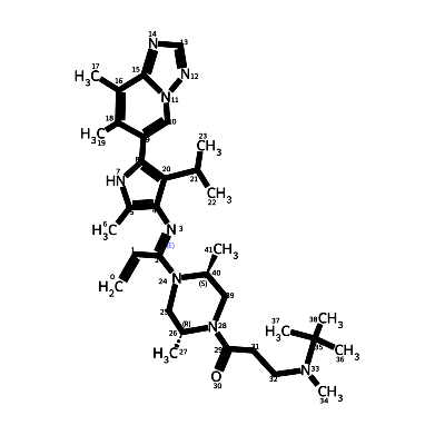 C=C/C(=N\c1c(C)[nH]c(-c2cn3ncnc3c(C)c2C)c1C(C)C)N1C[C@@H](C)N(C(=O)CCN(C)C(C)(C)C)C[C@@H]1C